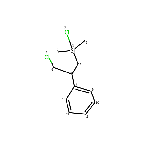 C[Si](C)(Cl)CC(CCl)c1ccccc1